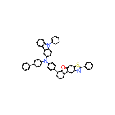 C1=CCCC(n2c3ccccc3c3cc(N(c4ccc(-c5ccccc5)cc4)c4ccc(-c5cccc6c5oc5cc7sc(-c8ccccc8)nc7cc56)cc4)ccc32)=C1